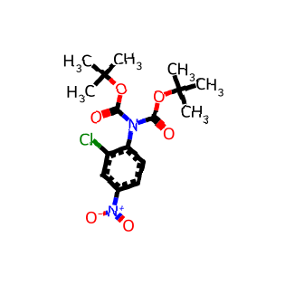 CC(C)(C)OC(=O)N(C(=O)OC(C)(C)C)c1ccc([N+](=O)[O-])cc1Cl